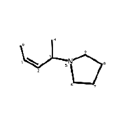 C/C=C\C(C)N1CCCC1